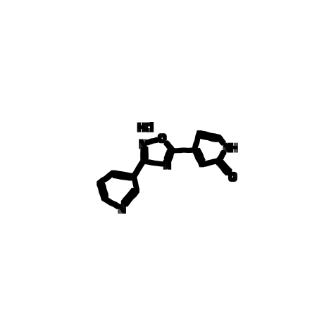 Cl.O=c1cc(-c2nc(-c3cccnc3)no2)cc[nH]1